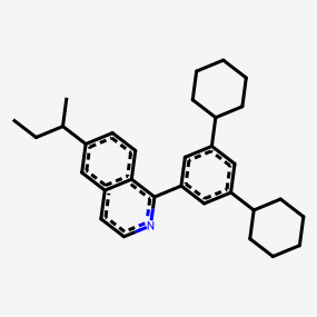 CCC(C)c1ccc2c(-c3cc(C4CCCCC4)cc(C4CCCCC4)c3)nccc2c1